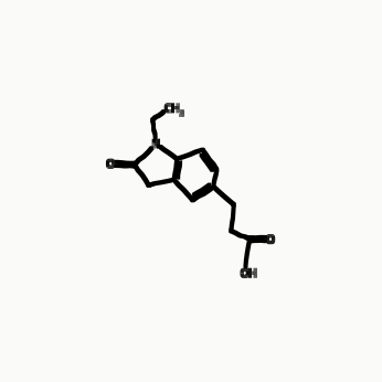 CCN1C(=O)Cc2cc(CCC(=O)O)ccc21